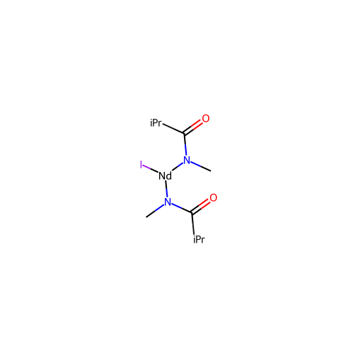 CC(C)C(=O)[N](C)[Nd]([I])[N](C)C(=O)C(C)C